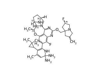 C=C1CN2C[C@H](F)CC2(COc2nc3c4c(nc(C5=C(C6CC6(C)C)C(C)=CC(N)(N)N5)c(F)c4n2)O[C@@H](C)[C@@H]2[C@@H]4CC[C@H](CN32)N4)C1